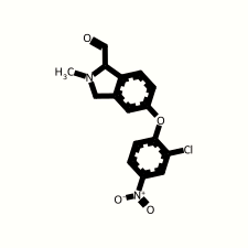 CN1Cc2cc(Oc3ccc([N+](=O)[O-])cc3Cl)ccc2C1C=O